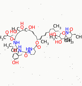 CC[C@H]1C[C@H](C)[C@@]2(NC1=O)O[C@@H](C[C@H](O)[C@@H](C)CC/C=C/C=C(\C)[C@@H]1C/C=C/C(O)C[C@H](O)[C@H](C)[C@@H](O)[C@@H](CCC(C)=O)C(=O)N[C@@H](C(C)C)C(=O)N[C@@H](Cc3cccc(O)c3)C(=O)N3CCCC(N3)C(=O)O1)[C@H](C)[C@H](O)[C@@H]2C